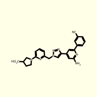 N#Cc1cccc(-c2cc(-c3cn(Cc4cccc(N5CCC(C(=O)O)C5)n4)nn3)cc(N)n2)c1